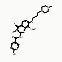 CCn1c(NC(=O)c2cnc(N)nc2)nc2c(OC)c(OCCCN3CCN(C)CC3)ccc2c1=O